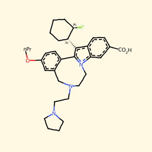 CCCOc1ccc2c(c1)CN(CCN1CCCC1)CCn1c-2c([C@@H]2CCCC[C@H]2F)c2ccc(C(=O)O)cc21